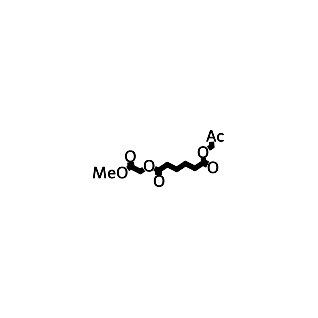 COC(=O)COC(=O)CCCCC(=O)OCC(C)=O